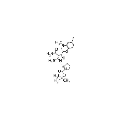 CN1CC(c2nn(C[C@@H]3CCCN3C(=O)OC(C)(C)C)c(N)c2C(N)=O)Oc2ccc(F)cc21